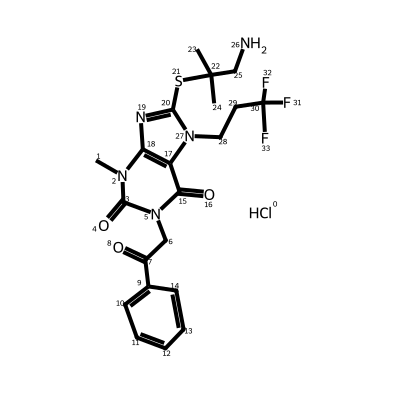 Cl.Cn1c(=O)n(CC(=O)c2ccccc2)c(=O)c2c1nc(SC(C)(C)CN)n2CCC(F)(F)F